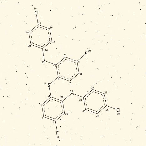 Fc1ccc(Sc2ccc(F)cc2Cc2ccc(Cl)cc2)c(Cc2ccc(Cl)cc2)c1